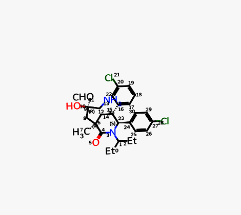 CCC(CC)N1C(=O)[C@@](C)(C[C@](O)(C=O)CN)C[C@H](c2cccc(Cl)c2)[C@H]1c1ccc(Cl)cc1